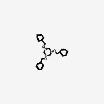 c1ccc(CON2CN(OCc3ccccc3)CN(OCc3ccccc3)C2)cc1